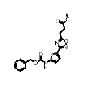 COC(=O)CCc1nc(-c2ccc(NC(=O)OCc3ccccc3)s2)no1